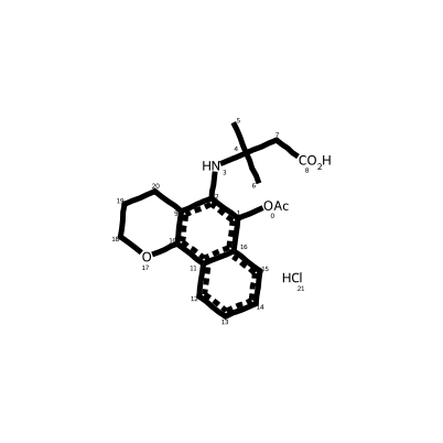 CC(=O)Oc1c(NC(C)(C)CC(=O)O)c2c(c3ccccc13)OCCC2.Cl